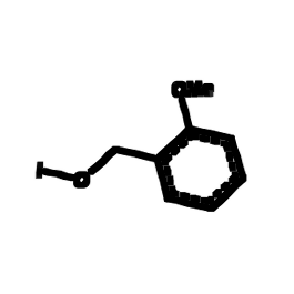 COc1ccccc1COI